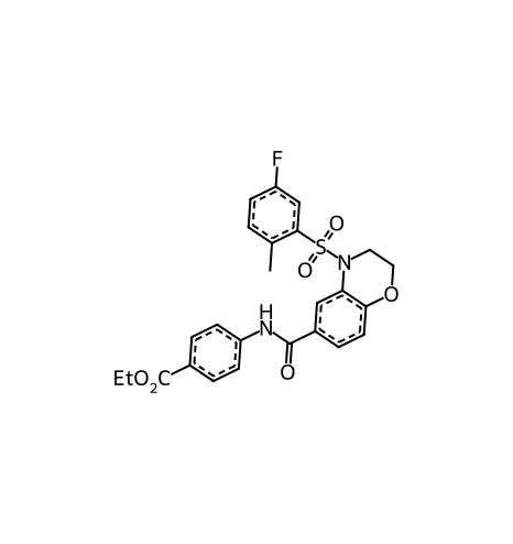 CCOC(=O)c1ccc(NC(=O)c2ccc3c(c2)N(S(=O)(=O)c2cc(F)ccc2C)CCO3)cc1